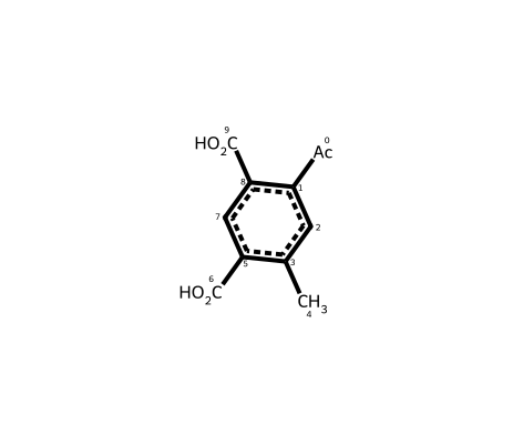 CC(=O)c1cc(C)c(C(=O)O)cc1C(=O)O